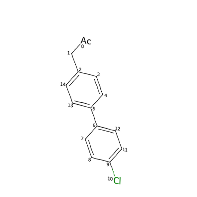 CC(=O)Cc1ccc(-c2ccc(Cl)cc2)cc1